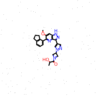 COc1cc2[nH]nc(-c3cnn(C4CN(C(=O)C(C)O)C4)c3)c2nc1-c1cccc2c1CCC2